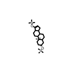 C[C@]12CC[C@@H](O[Si](C)(C)C)CC1CCC1C3CC=C(O[Si](C)(C)C)C3CCC12